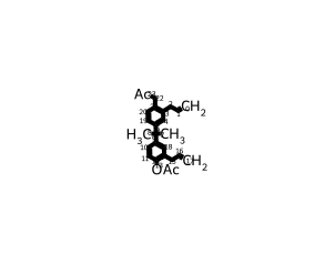 C=CCc1cc(C(C)(C)c2ccc(OC(C)=O)c(CC=C)c2)ccc1CC(C)=O